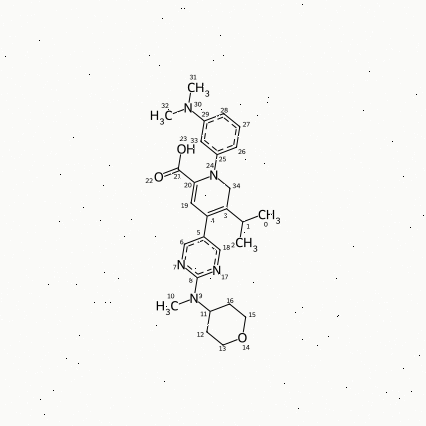 CC(C)C1=C(c2cnc(N(C)C3CCOCC3)nc2)C=C(C(=O)O)N(c2cccc(N(C)C)c2)C1